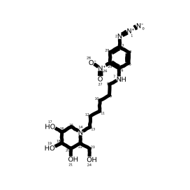 [N-]=[N+]=Nc1ccc(NCCCCCCN2CC(O)C(O)C(O)C2CO)c([N+](=O)[O-])c1